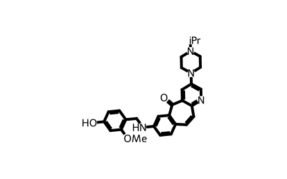 COc1cc(O)ccc1CNc1ccc2ccc3ncc(N4CCN(C(C)C)CC4)cc3c(=O)c2c1